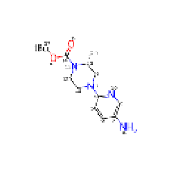 C[C@@H]1CN(c2ccc(N)cn2)CCN1C(=O)OC(C)(C)C